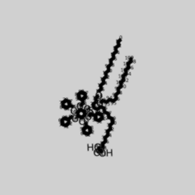 CCCCCCCCCCCCCCCCCCOCC(CC(CCCCCC/C=C\CCCCCCCCP(=O)(O)O)SO[C@@H]1[C@@H](OCc2ccccc2)[C@H](OCc2ccccc2)[C@@H](OCc2ccccc2)[C@H](OCc2ccccc2)[C@@H]1OCc1ccccc1)OCCCCCCCCCCCCCCCCCC